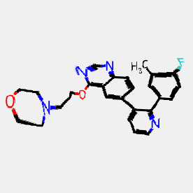 Cc1cc(-c2ncccc2-c2ccc3ncnc(OCCN4CCOCC4)c3c2)ccc1F